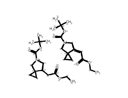 CCOC(=O)/C=C1/CN(C(=O)OC(C)(C)C)CC12CC2.CCOC(=O)CC1CN(C(=O)OC(C)(C)C)CC12CC2